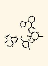 COc1cc(C(C)c2ccc(C)c(CN3CC(C)Oc4cc(C5CCCCC5C5CCCC5)ccc4S3(=O)=O)c2)cc2nnn(C)c12